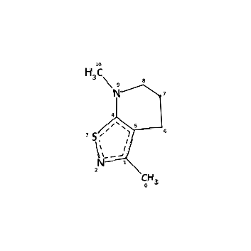 Cc1nsc2c1CCCN2C